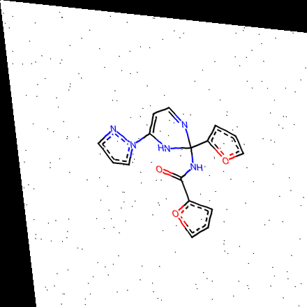 O=C(NC1(c2ccco2)N=CC=C(n2cccn2)N1)c1ccco1